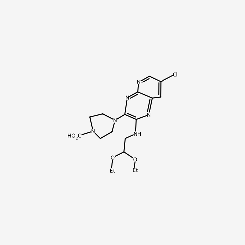 CCOC(CNc1nc2cc(Cl)cnc2nc1N1CCN(C(=O)O)CC1)OCC